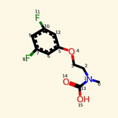 CN(CCOc1cc(F)cc(F)c1)C(=O)O